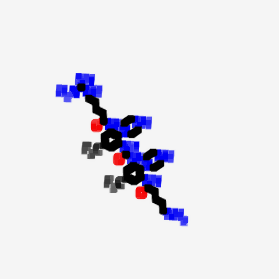 N=C(N)NCCCCC(=O)Nc1cc(C(F)(F)F)cc(NC(=O)Nc2cc(C(F)(F)F)cc(NC(=O)CCCCN)c2N2CCNCC2)c1N1CCNCC1